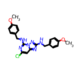 COc1ccc(CNc2nc3cc(Cl)nc(NCc4ccc(OC)cc4)n3n2)cc1